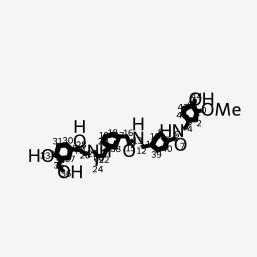 COc1cc(CNC(=O)c2ccc(CNC(=O)Cc3cccc(C[C@@H](C)NC[C@H](O)c4ccc(O)c(CO)c4)c3)cc2)ccc1O